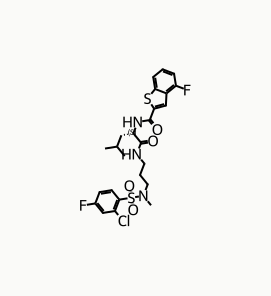 CC(C)C[C@H](NC(=O)c1cc2c(F)cccc2s1)C(=O)NCCCN(C)S(=O)(=O)c1ccc(F)cc1Cl